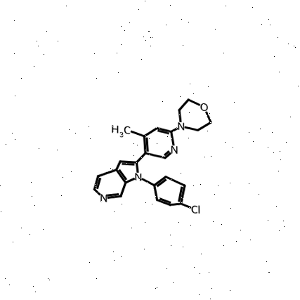 Cc1cc(N2CCOCC2)ncc1-c1cc2ccncc2n1-c1ccc(Cl)cc1